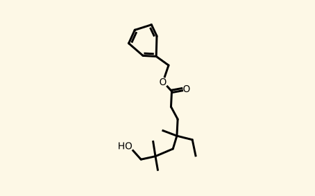 CCC(C)(CCC(=O)OCc1ccccc1)CC(C)(C)CO